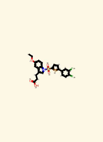 CCOc1ccc2c(c1)c(CCC(=O)O)cn2S(=O)(=O)c1ccc(-c2ccc(F)c(F)c2)s1